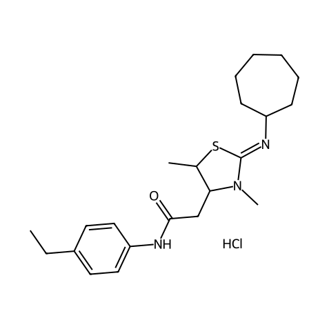 CCc1ccc(NC(=O)CC2C(C)SC(=NC3CCCCCC3)N2C)cc1.Cl